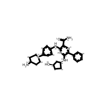 NC(=O)c1nc(-c2ccccc2)c(N[C@@H]2CC[C@@H](O)C2)nc1Nc1ccc(N2CCC(N)CC2)cc1